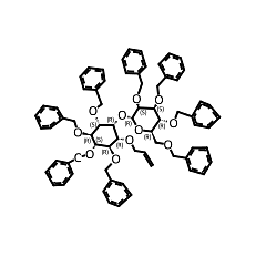 C=CCO[C@@H]1[C@@H](OCc2ccccc2)[C@H](OCc2ccccc2)[C@@H](OCc2ccccc2)[C@H](OCc2ccccc2)[C@@H]1O[C@H]1O[C@H](COCc2ccccc2)[C@@H](OCc2ccccc2)[C@H](OCc2ccccc2)[C@@H]1OCc1ccccc1